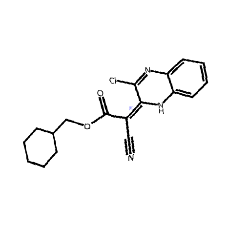 N#C/C(C(=O)OCC1CCCCC1)=C1\Nc2ccccc2N=C1Cl